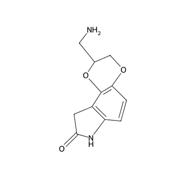 NCC1COc2ccc3c(c2O1)CC(=O)N3